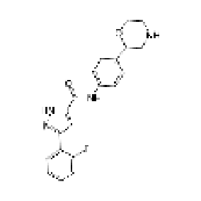 O=C(Nc1ccc(C2CNCCO2)cc1)c1cc(-c2ccccc2F)n[nH]1